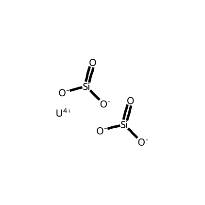 O=[Si]([O-])[O-].O=[Si]([O-])[O-].[U+4]